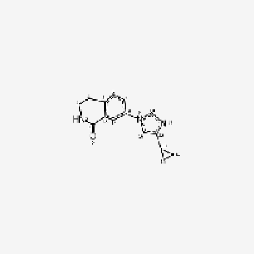 O=C1NCCc2ccc(-n3cnc(C4CC4)c3)cc21